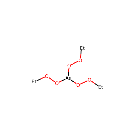 CCOO[As](OOCC)OOCC